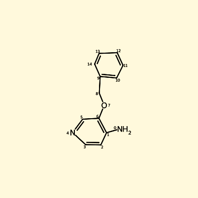 Nc1ccncc1OCc1ccccc1